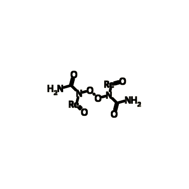 NC(=O)[N](OO[N]([Re]=[O])C(N)=O)[Re]=[O]